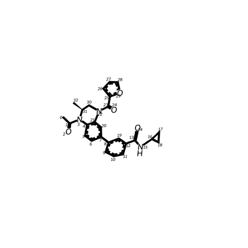 CC(=O)N1c2ccc(-c3cccc(C(=O)NC4CC4)c3)cc2N(C(=O)c2ccco2)C[C@@H]1C